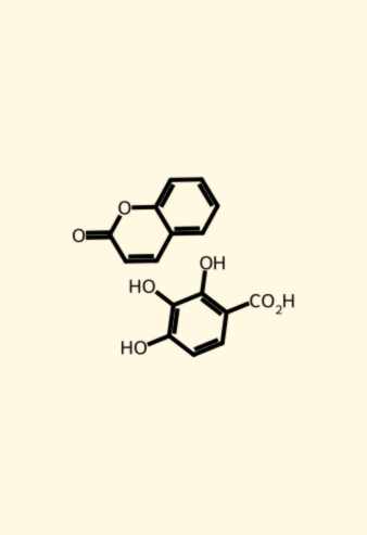 O=C(O)c1ccc(O)c(O)c1O.O=c1ccc2ccccc2o1